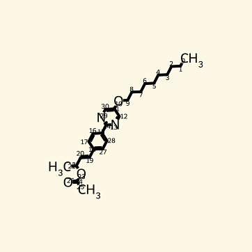 CCCCCCCCCCOc1cnc(-c2ccc(/C=C/C(C)OC(C)=O)cc2)nc1